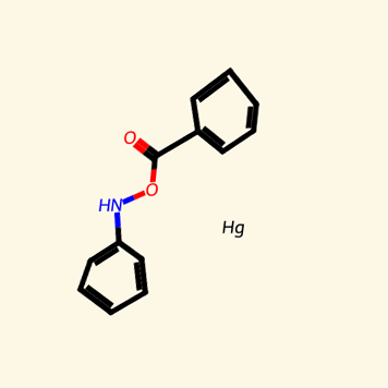 O=C(ONc1ccccc1)c1ccccc1.[Hg]